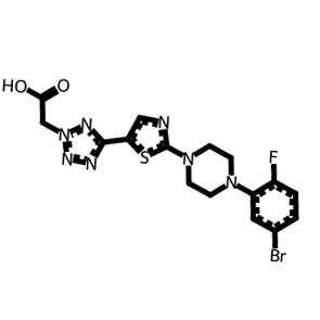 O=C(O)Cn1nnc(-c2cnc(N3CCN(c4cc(Br)ccc4F)CC3)s2)n1